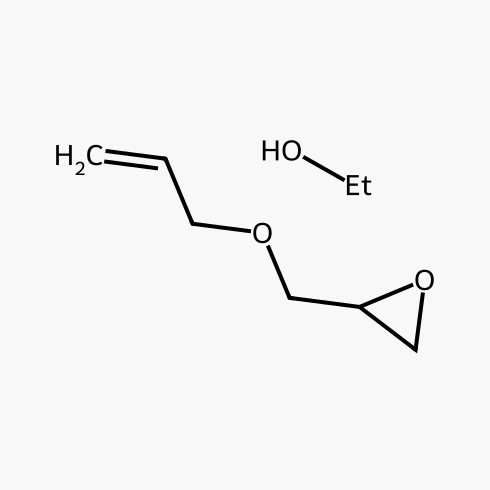 C=CCOCC1CO1.CCO